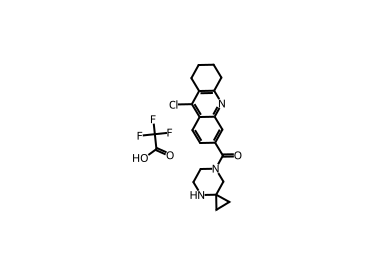 O=C(O)C(F)(F)F.O=C(c1ccc2c(Cl)c3c(nc2c1)CCCC3)N1CCNC2(CC2)C1